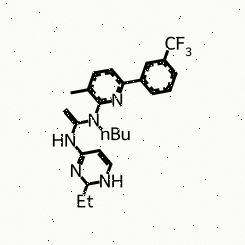 C=C(NC1=NC(CC)NC=C1)N(CCCC)c1nc(-c2cccc(C(F)(F)F)c2)ccc1C